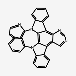 c1ccc(-n2c3ccccc3c3c4cncnc4c4c5ccccc5n(-c5ccccn5)c4c32)cc1